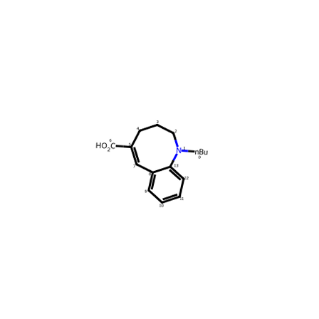 CCCCN1CCCC(C(=O)O)=Cc2ccccc21